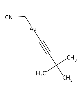 [C-]#[N+][CH2][Au][C]#CC(C)(C)C